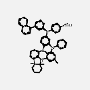 Cc1cc2c3c(c1)N1c4c(cccc4C4(C)CCCCC14C)B3c1ccc(N(c3ccc(C(C)(C)C)cc3)c3cccc(-c4cccc5ccccc45)c3)cc1N2c1ccccc1